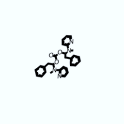 CN(c1ccccn1)C(Cc1ccccc1)OC(=O)OC(Cc1ccccc1)N(C)c1ccccn1